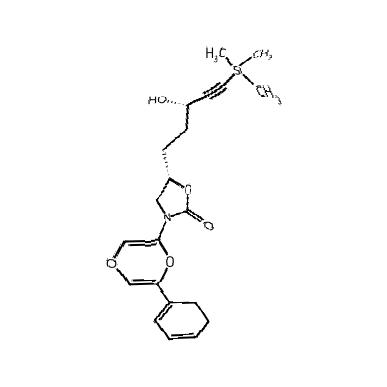 C[Si](C)(C)C#C[C@@H](O)CC[C@H]1CN(C2=COC=C(C3=CC=CCC3)O2)C(=O)O1